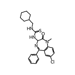 CN1C(=O)C(NC(=S)NCC2CCCCC2)N=C(c2ccccc2)c2cc(Cl)ccc21